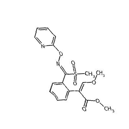 COC=C(C(=O)OC)c1ccccc1C(=NOc1ccccn1)S(C)(=O)=O